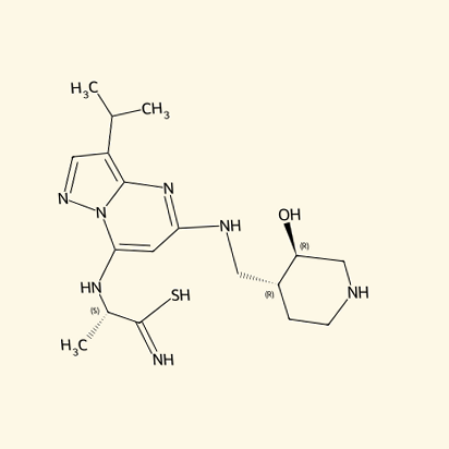 CC(C)c1cnn2c(N[C@@H](C)C(=N)S)cc(NC[C@H]3CCNC[C@@H]3O)nc12